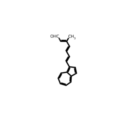 CC(C=CC=Cc1ccc2cccccc1-2)=CC=O